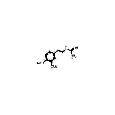 COc1ccc(CCNC(=N)N)cc1OC